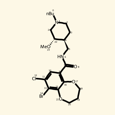 CCCCN1CC[C@@H](CNC(=O)c2cc(Cl)c(Br)c3c2OCCCO3)[C@H](OC)C1